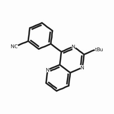 CC(C)(C)c1nc(-c2cccc(C#N)c2)c2ncccc2n1